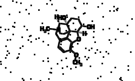 COc1ccc2c3c1O[C@@H]1C(O)CC[C@]4(O)[C@H](C2)N(C)CCC314